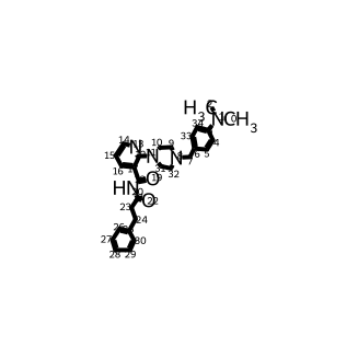 CN(C)c1ccc(CN2CCN(c3ncccc3C(=O)NC(=O)CCc3ccccc3)CC2)cc1